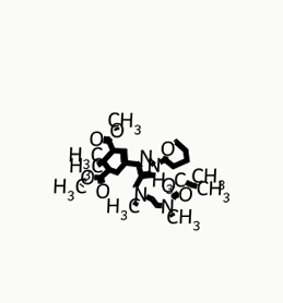 COC(=O)C1C=C(c2nn(C3CCCCO3)cc2CN(C)CCN(C)C(=O)OC(C)(C)C)CC(C(=O)OC)C1(C)C